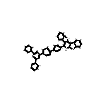 c1ccc(-c2cc(-c3ccc(-c4ccc(-c5nc6sc7ccccc7c6c6sc7ccccc7c56)cc4)cc3)cc(-c3ccccc3)n2)cc1